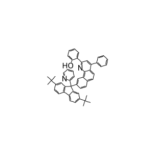 CC(C)(C)c1ccc2c(c1)C(c1ccc3ccc4c(-c5ccccc5)cc(-c5ccccc5O)nc4c3c1)(c1ccccn1)c1cc(C(C)(C)C)ccc1-2